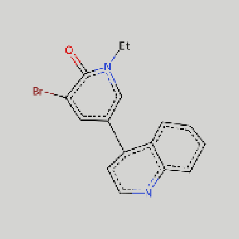 CCn1cc(-c2ccnc3ccccc23)cc(Br)c1=O